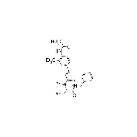 CC(C)CC(C(=O)NCc1ccccc1)N(C(=O)C=Cc1ccc(NC(=O)C(=O)O)c(C(=O)O)c1)C(C)C